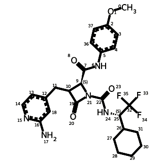 COc1ccc(NC(=O)[C@@H]2C(Cc3ccnc(N)c3)C(=O)N2C(=O)N[C@@H](C2CCCCC2)C(F)(F)F)cc1